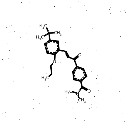 CCCOc1ccc(C(C)(C)C)cc1C=CC(=O)c1ccc(C(=O)N(C)C)cc1